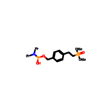 COP(=O)(CCc1ccc(COP(O)N(C(C)C)C(C)C)cc1)OC